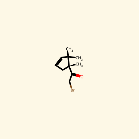 CC1(C)C=CC[C@@]1(C)C(=O)CBr